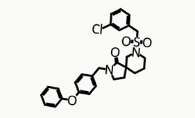 O=C1N(Cc2ccc(Oc3ccccc3)cc2)CCC12CCCN(S(=O)(=O)Cc1cccc(Cl)c1)C2